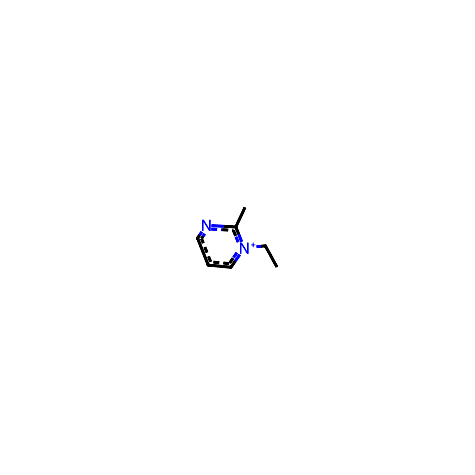 CC[n+]1cccnc1C